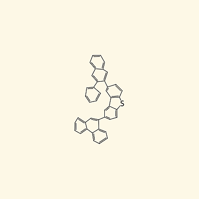 c1ccc(-c2cc3ccccc3cc2-c2ccc3sc4ccc(-c5cc6ccccc6c6ccccc56)cc4c3c2)cc1